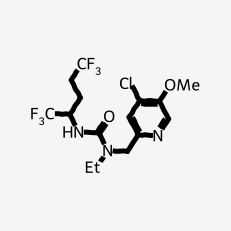 CCN(Cc1cc(Cl)c(OC)cn1)C(=O)NC(CCC(F)(F)F)C(F)(F)F